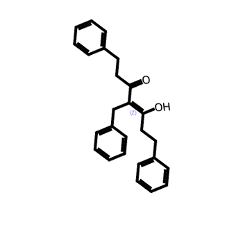 O=C(CCc1ccccc1)/C(Cc1ccccc1)=C(\O)CCc1ccccc1